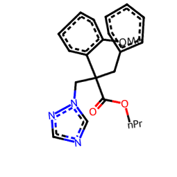 CCCOC(=O)C(Cc1ccccc1)(Cn1cncn1)c1ccccc1OC